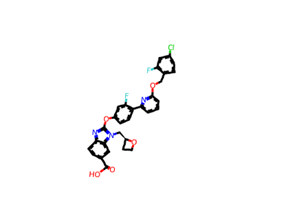 O=C(O)c1ccc2nc(Oc3ccc(-c4cccc(OCc5ccc(Cl)cc5F)n4)c(F)c3)n(C[C@@H]3CCO3)c2c1